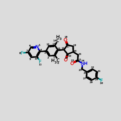 Cc1cc(-c2ncc(F)cc2F)cc(C)c1C1C(=O)CC(CC(=O)NCc2ccc(F)cc2)C1=O